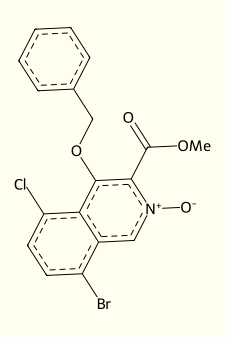 COC(=O)c1c(OCc2ccccc2)c2c(Cl)ccc(Br)c2c[n+]1[O-]